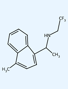 Cc1ccc(C(C)NCC(F)(F)F)c2ccccc12